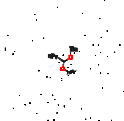 CCCOC(CCC)OC(C)CC